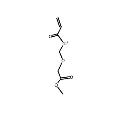 C=CC(=O)NCOCC(=O)OC